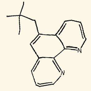 CC(C)(C)Cc1cc2cccnc2c2ncccc12